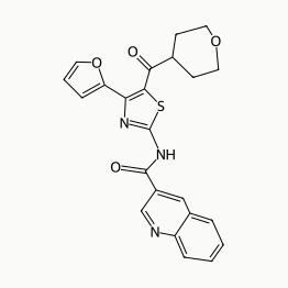 O=C(Nc1nc(-c2ccco2)c(C(=O)C2CCOCC2)s1)c1cnc2ccccc2c1